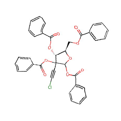 O=C(OC[C@H]1OC(OC(=O)c2ccccc2)C(C#CCl)(OC(=O)c2ccccc2)[C@@H]1OC(=O)c1ccccc1)c1ccccc1